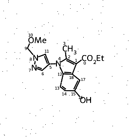 CCOC(=O)c1c(C)n(-c2cnn(COC)c2)c2ccc(O)cc12